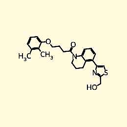 Cc1cccc(OCCCC(=O)N2CCCc3c(-c4csc(CO)n4)cccc32)c1C